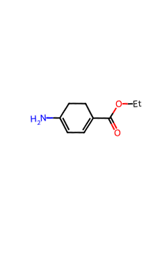 CCOC(=O)C1=CC=C(N)CC1